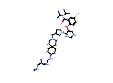 C=N/C=C(C)\C=N/CNC1CCC2(CC1)CCN(CC1CCN(c3ncncc3Oc3ccc(F)cc3C(=O)N(C(C)C)C(C)C)C1)CC2